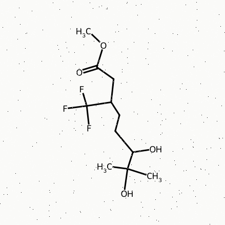 COC(=O)CC(CCC(O)C(C)(C)O)C(F)(F)F